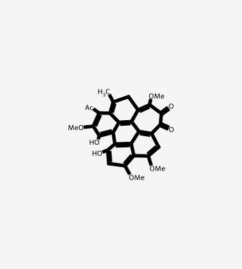 COC1=C2CC(C)=c3c(C(C)=O)c(OC)c(O)c4c3c2c2c(cc(OC)c3c(OC)cc(O)c4c32)C(=O)C1=O